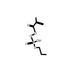 C=C(C)C(=O)OOP(=O)(O)OCCC